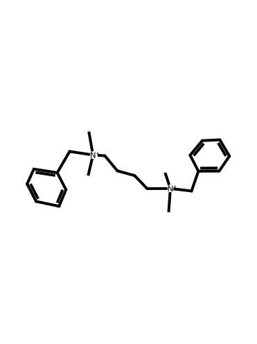 C[N+](C)(CCCC[N+](C)(C)Cc1ccccc1)Cc1ccccc1